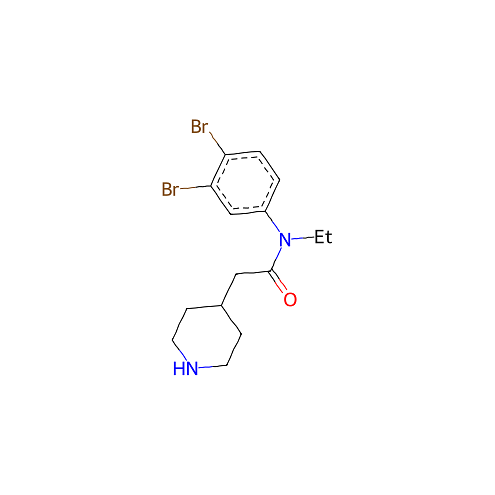 CCN(C(=O)CC1CCNCC1)c1ccc(Br)c(Br)c1